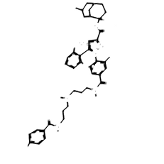 COc1cccc(OC)c1-c1cc(C(=O)NC2(C(=O)O)CCC3CC(C)CC2C3)nn1-c1ccc(C(=O)N(C)CCCN(C)CCCN(C)C(=O)c2ccc(F)cc2)cc1C(C)C